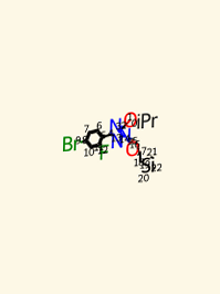 CC(C)Oc1nc(-c2ccc(Br)cc2F)nn1COCC[Si](C)(C)C